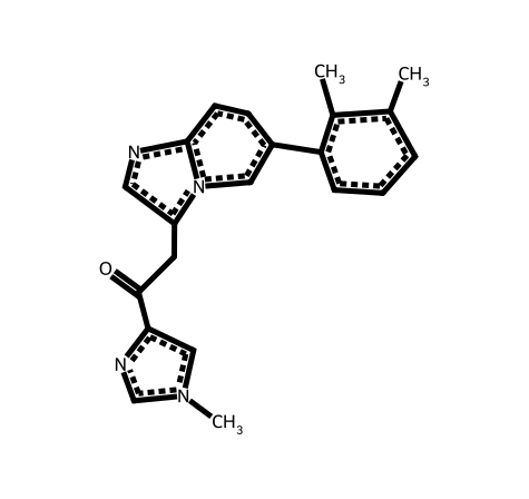 Cc1cccc(-c2ccc3ncc(CC(=O)c4cn(C)cn4)n3c2)c1C